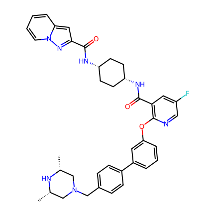 C[C@@H]1CN(Cc2ccc(-c3cccc(Oc4ncc(F)cc4C(=O)N[C@H]4CC[C@@H](NC(=O)c5cc6ccccn6n5)CC4)c3)cc2)C[C@H](C)N1